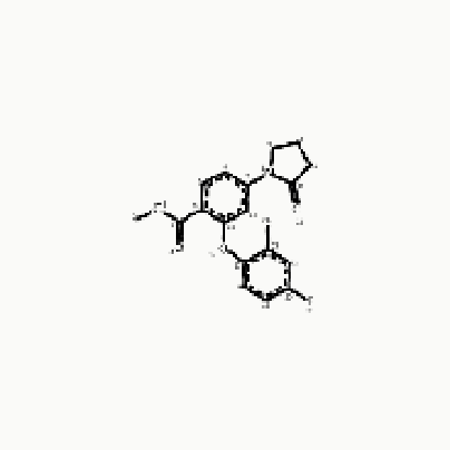 COC(=O)c1ccc(N2CCCC2=O)cc1Oc1ccc(F)cc1C